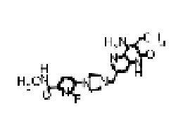 CCc1c(N)c2ncc(CN3CCN(c4ccc(C(=O)NC)nc4F)CC3)cc2[nH]c1=O